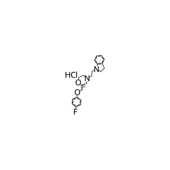 Cl.Fc1ccc(OC[C@@H]2CN(CCN3CCc4ccccc43)CCO2)cc1